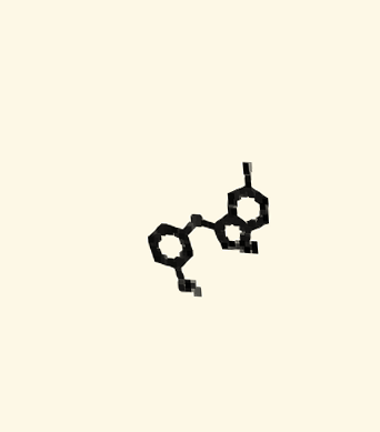 Cc1cccc(Oc2c[nH]c3ccc(F)cc23)c1